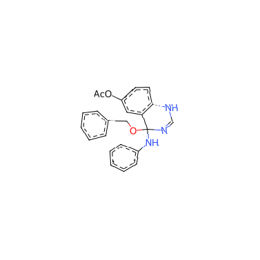 CC(=O)Oc1ccc2c(c1)C(Nc1ccccc1)(OCc1ccccc1)N=CN2